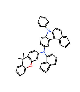 CC1(C)c2ccccc2Oc2cc(N(c3ccc4c(c3)c3c5ccccc5ccc3n4-c3ccccc3)c3cccc4ccccc34)ccc21